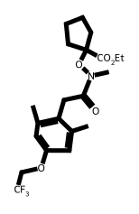 CCOC(=O)C1(ON(C)C(=O)Cc2c(C)cc(OCC(F)(F)F)cc2C)CCCC1